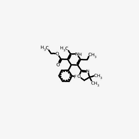 CCOC(=O)C1=C(C)NC(CC)=C(C2=NC(C)(C)CO2)C1c1ccccc1F